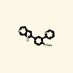 COc1ccc(-c2cc3ccncc3[nH]2)cc1-c1ccccn1